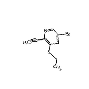 C#Cc1ncc(Br)cc1SCC